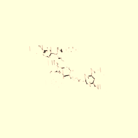 CO/N=C(\C(=O)NC1C(=O)N2C(C(=O)O)=C(SCSc3nc(N)cc(N)n3)CSC12)c1csc(N)n1